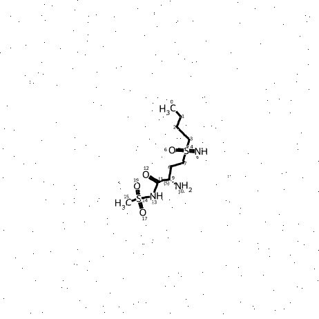 CCCCS(=N)(=O)CC[C@H](N)C(=O)NS(C)(=O)=O